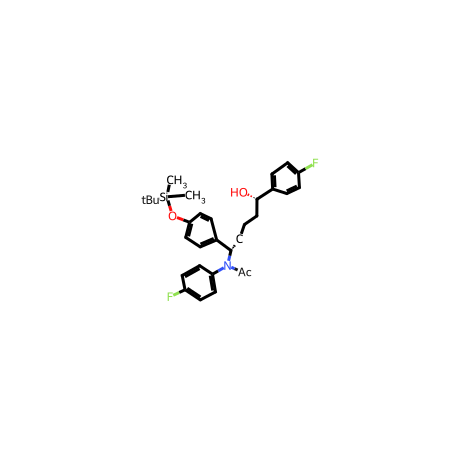 CC(=O)N(c1ccc(F)cc1)[C@@H](CCC[C@H](O)c1ccc(F)cc1)c1ccc(O[Si](C)(C)C(C)(C)C)cc1